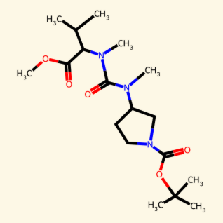 COC(=O)C(C(C)C)N(C)C(=O)N(C)C1CCN(C(=O)OC(C)(C)C)C1